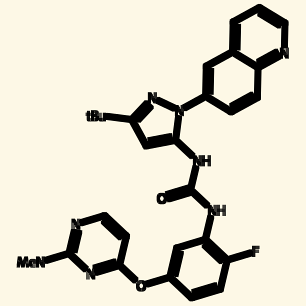 CNc1nccc(Oc2ccc(F)c(NC(=O)Nc3cc(C(C)(C)C)nn3-c3ccc4ncccc4c3)c2)n1